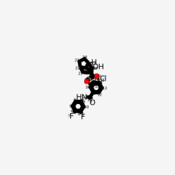 O=C(Nc1ccc(F)c(F)c1)c1ccc(Cl)c(S(=O)(=O)[C@@H]2CC3CC[C@@H](C2)[C@@]3(O)C(O)c2nccs2)c1